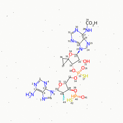 Nc1ncnc2c1ncn2[C@@H]1OC(COP(=O)(S)O[C@H]2[C@@H](O)[C@H](n3cnc4c(NC(=O)O)ncnc43)OC23CC3)[C@@H](O[PH](=O)S)[C@H]1F